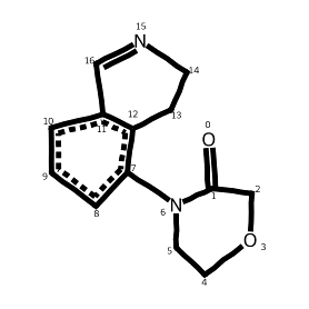 O=C1COCCN1c1cccc2c1CCN=C2